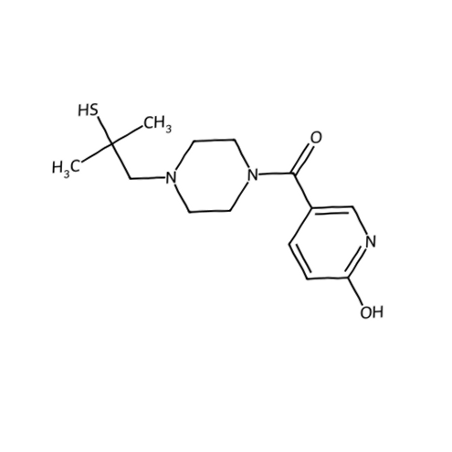 CC(C)(S)CN1CCN(C(=O)c2ccc(O)nc2)CC1